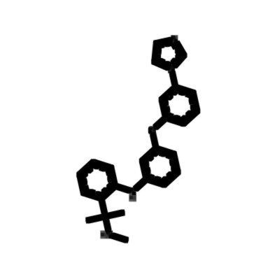 CNC(C)(C)c1ccccc1Nc1cccc(Oc2cccc(-n3ccnc3)c2)c1